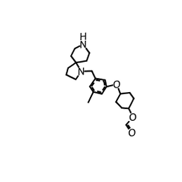 Cc1cc(CN2CCCC23CCNCC3)cc(OC2CCC(OC=O)CC2)c1